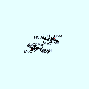 COc1ccc(C2(c3ccc(N4CCOCC4)cc3)C=Cc3c4c(c5cc(OC)c(OC)cc5c3O2)-c2ccc(-c3ccc(CC(CC(=O)O)C(=O)O)c(CCCCCCCCCCc5cc(-c6ccc7c(c6)C(C)(C)c6c8c(c9cc(OC)c(OC)cc9c6-7)OC(c6ccc(OC)cc6)(c6ccc(N7CCOCC7)cc6)C=C8)ccc5CC(CC(=O)O)C(=O)O)c3)cc2C4(C)C)cc1